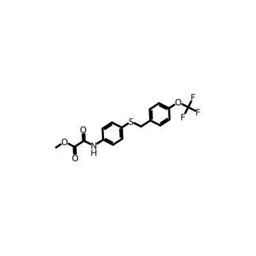 COC(=O)C(=O)Nc1ccc(SCc2ccc(OC(F)(F)F)cc2)cc1